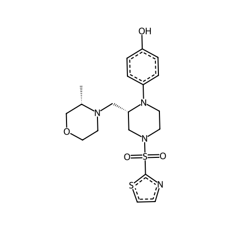 C[C@H]1COCCN1C[C@H]1CN(S(=O)(=O)c2nccs2)CCN1c1ccc(O)cc1